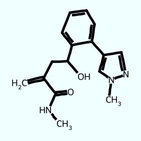 C=C(CC(O)c1ccccc1-c1cnn(C)c1)C(=O)NC